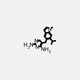 CC(C)c1cc2c(ccn2C)cc1Cc1cnc(N)nc1N